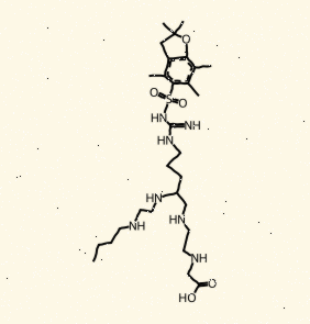 CCCCNCCNC(CCCNC(=N)NS(=O)(=O)c1c(C)c(C)c2c(c1C)CC(C)(C)O2)CNCCNCC(=O)O